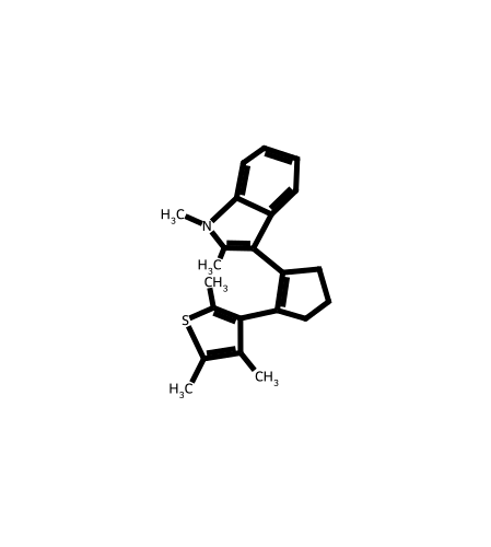 Cc1sc(C)c(C2=C(c3c(C)n(C)c4ccccc34)CCC2)c1C